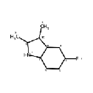 CC1NC2CCC(F)CC2C1C